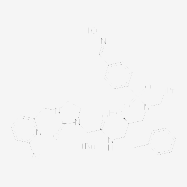 CC(=O)c1cccc(CN2CCN([C@H](C(=O)N[C@@H](Cc3ccccc3)[C@@H](O)CN(CC(C)C)S(=O)(=O)c3ccc(C=NO)cc3)C(C)(C)C)C2=O)n1